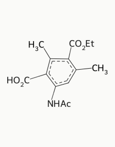 CCOC(=O)c1c(C)cc(NC(C)=O)c(C(=O)O)c1C